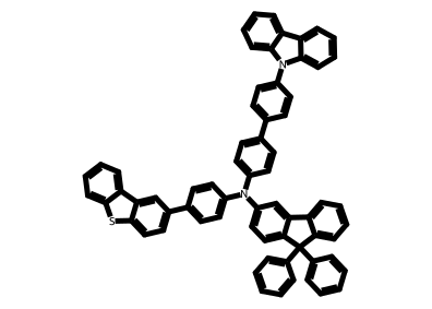 c1ccc(C2(c3ccccc3)c3ccccc3-c3cc(N(c4ccc(-c5ccc(-n6c7ccccc7c7ccccc76)cc5)cc4)c4ccc(-c5ccc6sc7ccccc7c6c5)cc4)ccc32)cc1